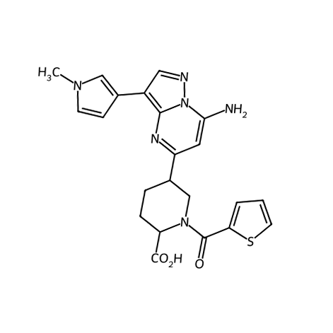 Cn1ccc(-c2cnn3c(N)cc(C4CCC(C(=O)O)N(C(=O)c5cccs5)C4)nc23)c1